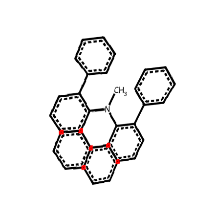 CN(c1c(-c2ccccc2)cccc1-c1ccccc1)c1c(-c2ccccc2)cccc1-c1ccccc1